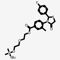 Cc1cc(C(=O)OCCOCCO[Si](C)(C)C(C)(C)C)ccc1N1C(=O)CSC1c1ccc(F)cc1